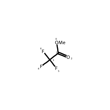 [CH2]OC(=O)C(F)(F)F